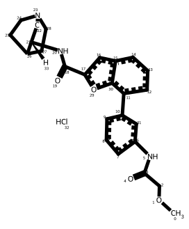 COCC(=O)Nc1cccc(-c2cccc3cc(C(=O)N[C@H]4CN5CCC4CC5)oc23)c1.Cl